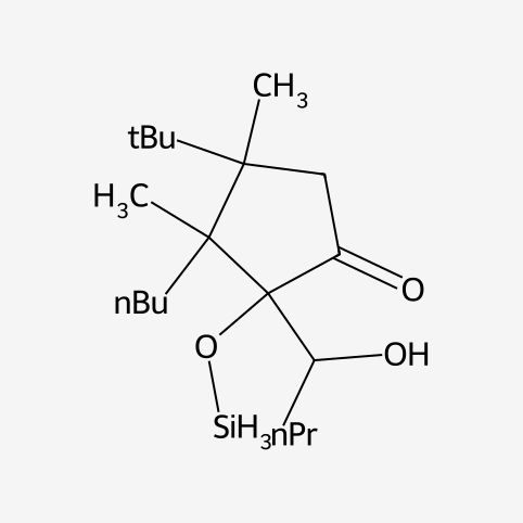 CCCCC1(C)C(O[SiH3])(C(O)CCC)C(=O)CC1(C)C(C)(C)C